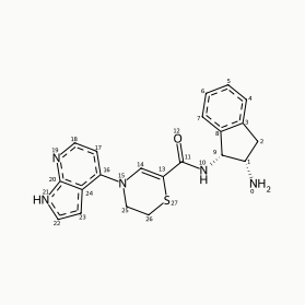 N[C@H]1Cc2ccccc2[C@H]1NC(=O)C1=CN(c2ccnc3[nH]ccc23)CCS1